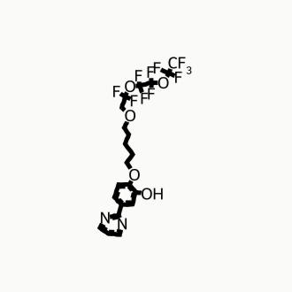 Oc1cc(-c2ncccn2)ccc1OCCCCCOCC(F)(F)OC(F)(F)C(F)(F)OC(F)(F)C(F)(F)F